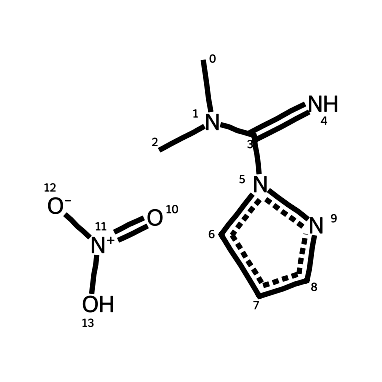 CN(C)C(=N)n1cccn1.O=[N+]([O-])O